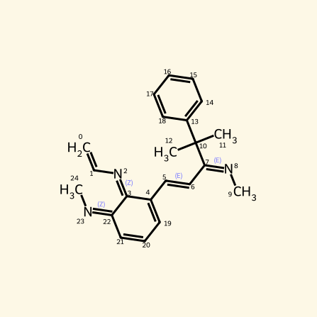 C=C/N=C1/C(/C=C/C(=N\C)C(C)(C)c2ccccc2)=CC=C/C1=N/C